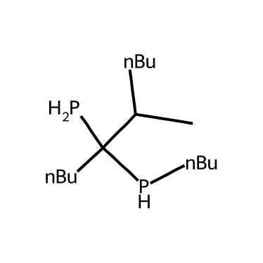 CCCCPC(P)(CCCC)C(C)CCCC